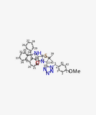 COc1ccc(Cn2nnnc2C2N3C(=O)C(NC(c4ccccc4)(c4ccccc4)c4ccccc4)C3SC2(C)C)cc1